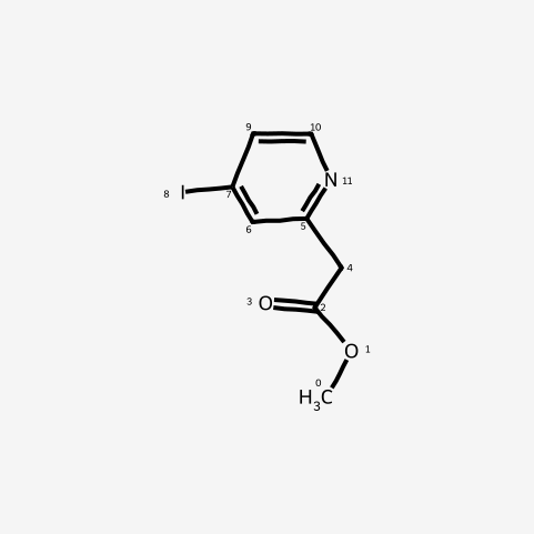 COC(=O)Cc1cc(I)ccn1